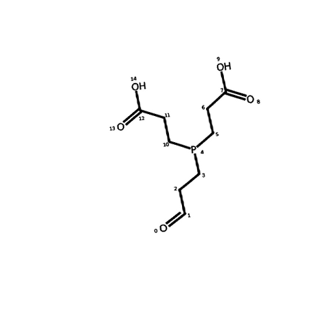 O=CCCP(CCC(=O)O)CCC(=O)O